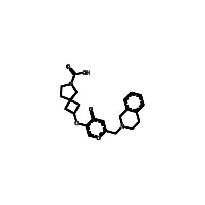 O=C(O)N1CCC2(CC(Oc3coc(CN4CCc5ccccc5C4)cc3=O)C2)C1